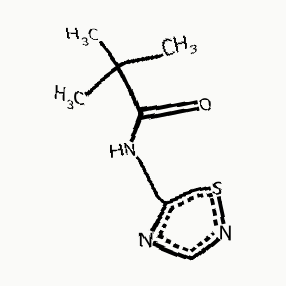 CC(C)(C)C(=O)Nc1ncns1